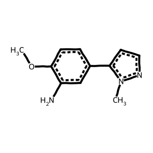 COc1ccc(-c2ccnn2C)cc1N